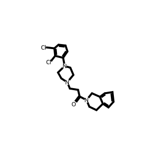 O=C(CCN1CCN(c2cccc(Cl)c2Cl)CC1)N1CCc2ccccc2C1